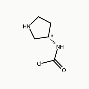 O=C(Cl)N[C@H]1CCNC1